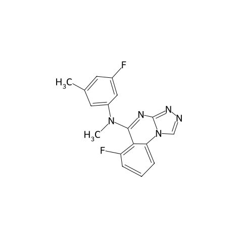 Cc1cc(F)cc(N(C)c2nc3nncn3c3cccc(F)c23)c1